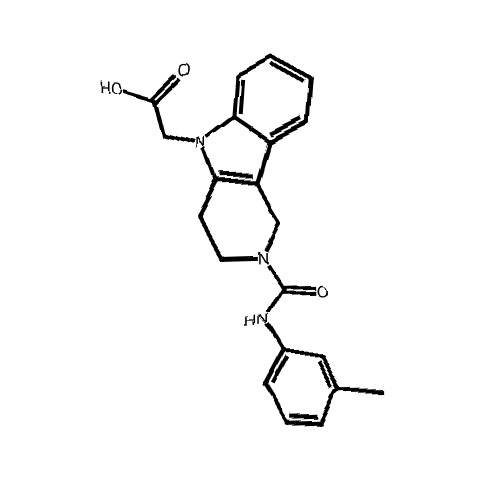 Cc1cccc(NC(=O)N2CCc3c(c4ccccc4n3CC(=O)O)C2)c1